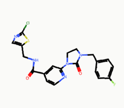 O=C(NCc1cnc(Cl)s1)c1ccnc(N2CCN(Cc3ccc(F)cc3)C2=O)c1